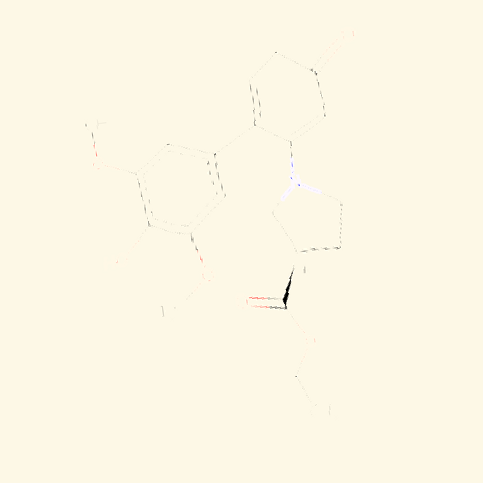 CCOC(=O)[C@@H]1CCN(C2=CC(=O)CC=C2c2cc(OC)c(O)c(OC)c2)C1